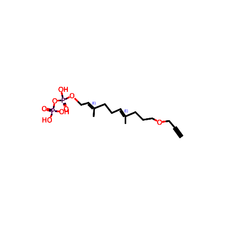 C#CCOCCC/C(C)=C/CC/C(C)=C/COP(=O)(O)OP(=O)(O)O